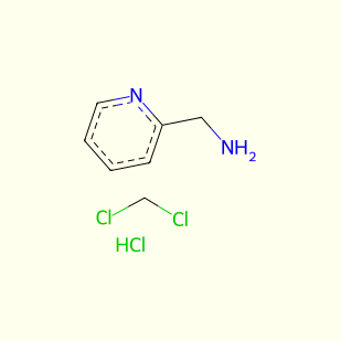 Cl.ClCCl.NCc1ccccn1